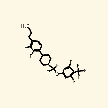 CCCc1ccc(C2CCC(C(F)(F)Oc3cc(F)c(C(F)(F)F)c(F)c3)CC2)c(F)c1F